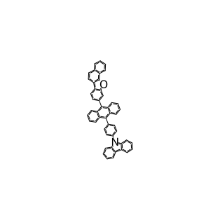 c1ccc2c(c1)ccc1c3ccc(-c4c5ccccc5c(-c5ccc(-n6c7ccccc7c7ccccc76)cc5)c5ccccc45)cc3oc21